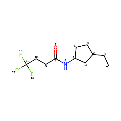 CCC1CCC(NC(=O)CCC(F)(F)F)C1